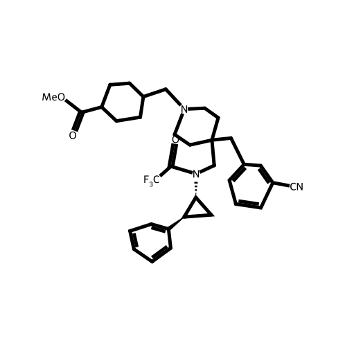 COC(=O)C1CCC(CN2CCC(Cc3cccc(C#N)c3)(CN(C(=O)C(F)(F)F)[C@@H]3C[C@H]3c3ccccc3)CC2)CC1